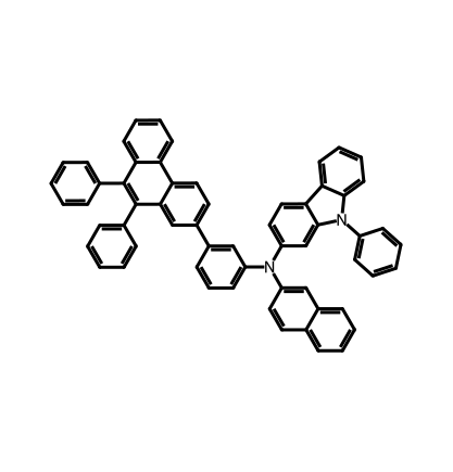 c1ccc(-c2c(-c3ccccc3)c3cc(-c4cccc(N(c5ccc6ccccc6c5)c5ccc6c7ccccc7n(-c7ccccc7)c6c5)c4)ccc3c3ccccc23)cc1